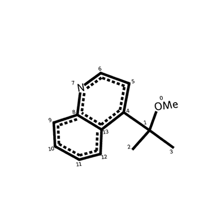 COC(C)(C)c1ccnc2ccccc12